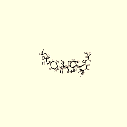 CC(C)(C)OC(=O)N[C@H]1CC[C@H](NC(=O)c2c[nH]c3c(-c4cc(F)ccc4OCC4CC4)ncnc23)CC1